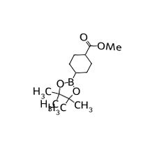 COC(=O)C1CCC(B2OC(C)(C)C(C)(C)O2)CC1